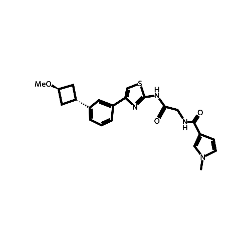 CO[C@H]1C[C@H](c2cccc(-c3csc(NC(=O)CNC(=O)c4ccn(C)c4)n3)c2)C1